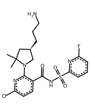 CC1(C)C[C@@H](CCCN)CN1c1nc(Cl)ccc1C(=O)NS(=O)(=O)c1cccc(F)n1